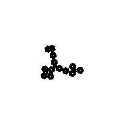 c1ccc(-n2c3ccccc3c3c(-c4ccc(-c5ccc(N(c6ccc(-c7ccc(-c8cccc9ccccc89)cc7)cc6)c6ccc([Si](c7ccccc7)(c7ccccc7)c7ccccc7)cc6)cc5)cc4)cccc32)cc1